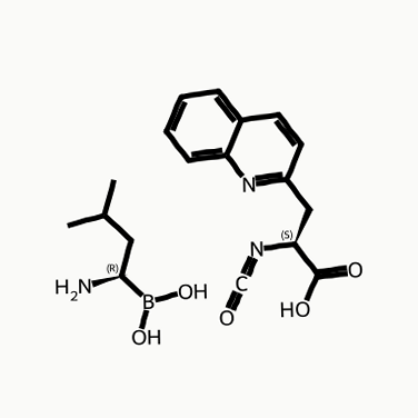 CC(C)C[C@H](N)B(O)O.O=C=N[C@@H](Cc1ccc2ccccc2n1)C(=O)O